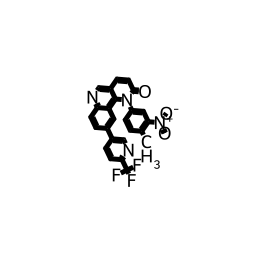 Cc1ccc(-n2c(=O)ccc3cnc4ccc(-c5ccc(C(F)(F)F)nc5)cc4c32)cc1[N+](=O)[O-]